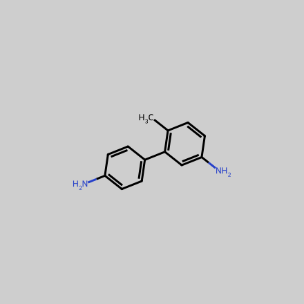 Cc1ccc(N)cc1-c1ccc(N)cc1